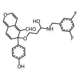 O=CC1=C2C=COC=C2C=CC1(OCCC(O)NCc1cc(F)cc(F)c1)c1ccc(O)cc1